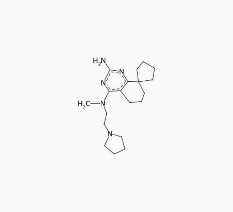 CN(CCN1CCCC1)c1nc(N)nc2c1CCCC21CCCC1